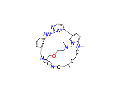 CC1CCCN(C)c2ccc(cn2)-c2ccnc(n2)Nc2cccc(c2)CN2CCN(CC1)CC2COCCN(C)C